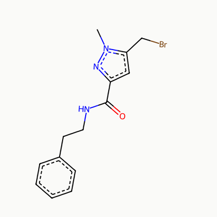 Cn1nc(C(=O)NCCc2ccccc2)cc1CBr